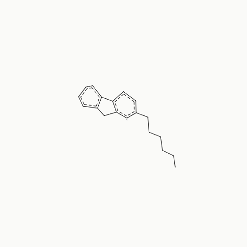 CCCCCCc1[c]c2c(cc1)-c1ccccc1C2